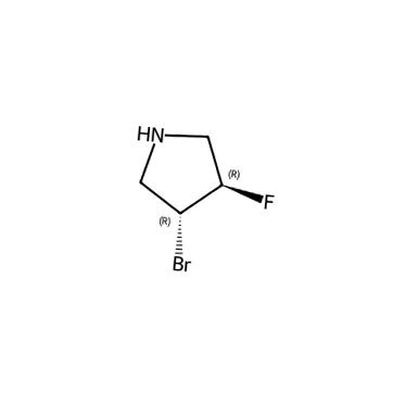 F[C@@H]1CNC[C@H]1Br